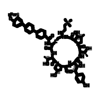 CCCCCOc1ccc(-c2ccc(-c3ccc(C(=O)NC4CCC(NCC[N+](C)(C)C)NC(=O)C5[C@@H](O)[C@@H](C)CN5C(=O)C([C@@H](C)O)NC(=O)C([C@H](O)[C@@H](O)c5ccc(O)cc5)NC(=O)C5C[C@@H](O)CN5C(=O)C([C@@H](C)O)NC4=O)cc3)cc2)cc1